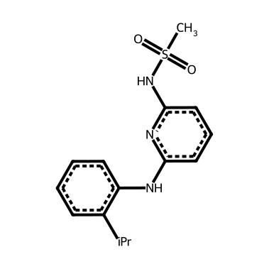 CC(C)c1ccccc1Nc1cccc(NS(C)(=O)=O)n1